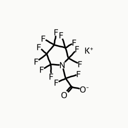 O=C([O-])C(F)(F)N1C(F)(F)C(F)(F)C(F)(F)C(F)(F)C1(F)F.[K+]